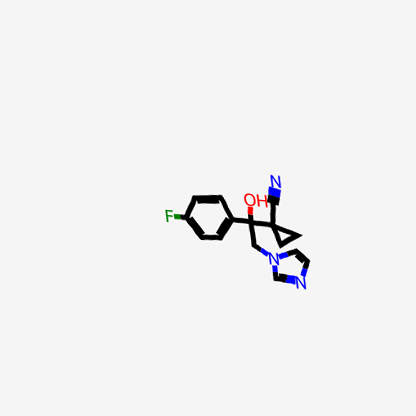 N#CC1(C(O)(Cn2ccnc2)c2ccc(F)cc2)CC1